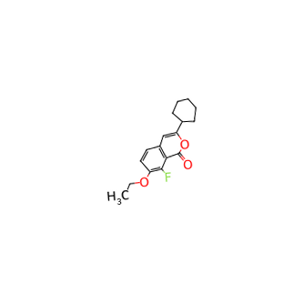 CCOc1ccc2cc(C3CCCCC3)oc(=O)c2c1F